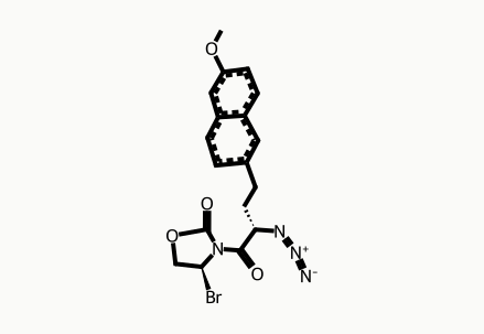 COc1ccc2cc(CC[C@H](N=[N+]=[N-])C(=O)N3C(=O)OC[C@@H]3Br)ccc2c1